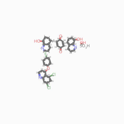 CC(=O)c1ccc(O)c2ncccc12.Fc1ccc(Oc2ccnc3cc(Cl)cc(Cl)c23)cc1.O=C1C=CC(=O)C=C1.O=S(=O)(O)O.Oc1cccc2cccnc12